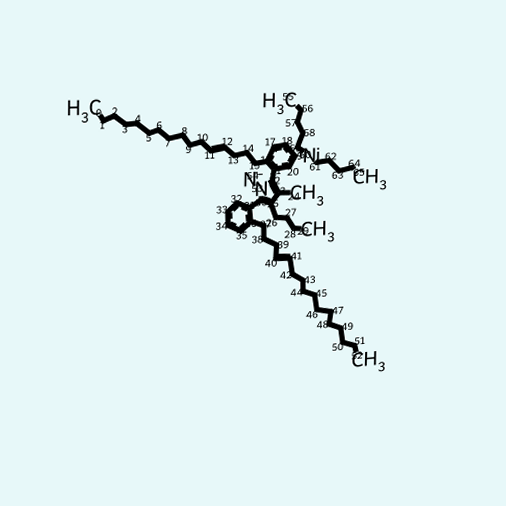 CCCCCCCCCCCC=CCCCc1ccccc1C1=C(C)C(CCCC)=C(c2ccccc2CCCC=CCCCCCCCCCCC)[N+]1=[N-].CCCC[CH2][Ni][CH2]CCCC